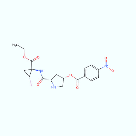 CCOC(=O)[C@@]1(NC(=O)[C@@H]2C[C@H](OC(=O)c3ccc([N+](=O)[O-])cc3)CN2)C[C@H]1I